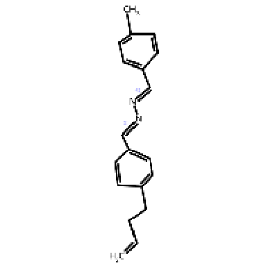 C=CCCc1ccc(/C=N/N=C/c2ccc(C)cc2)cc1